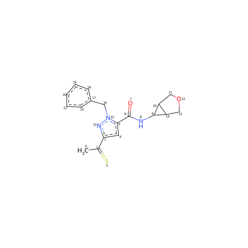 CC(=S)c1cc(C(=O)NC2C3COCC32)n(Cc2ccccc2)n1